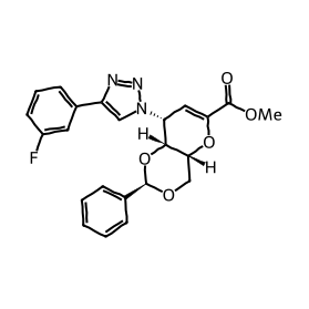 COC(=O)C1=C[C@@H](n2cc(-c3cccc(F)c3)nn2)[C@H]2O[C@H](c3ccccc3)OC[C@H]2O1